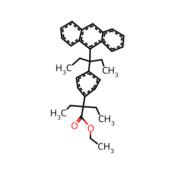 CCOC(=O)C(CC)(CC)c1ccc(C(CC)(CC)c2c3ccccc3cc3ccccc23)cc1